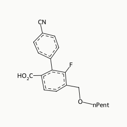 CCCCCOCc1ccc(C(=O)O)c(-c2ccc(C#N)cc2)c1F